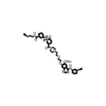 C#CCCCNC(=O)c1cccc(S(=O)(=O)n2cc(C(=O)N3CCN(CCOCCOc4cc5ncnc(Nc6cccc(C#C)c6)c5cc4OC)CC3)ccc2=O)c1